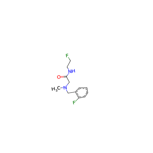 CN(CC(=O)NCCF)Cc1ccccc1F